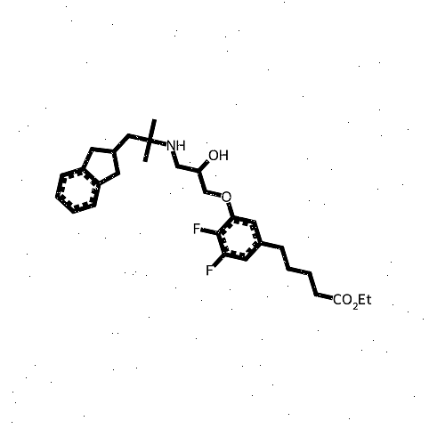 CCOC(=O)CCCCc1cc(F)c(F)c(OCC(O)CNC(C)(C)CC2Cc3ccccc3C2)c1